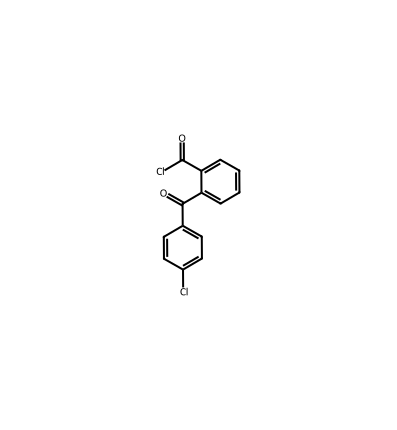 O=C(Cl)c1ccccc1C(=O)c1ccc(Cl)cc1